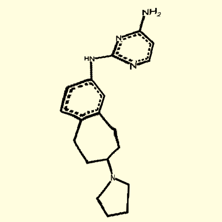 Nc1ccnc(Nc2ccc3c(c2)CCC(N2CCCC2)CC3)n1